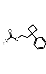 NC(=O)OCCC1(c2ccccc2)CCC1